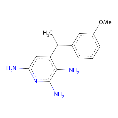 COc1cccc(C(C)c2cc(N)nc(N)c2N)c1